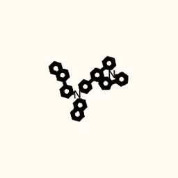 c1cc(-c2ccc3ccccc3c2)cc(N(c2ccc(-c3ccc(-c4ccccc4-n4c5ccccc5c5ccccc54)cc3)cc2)c2ccc3ccccc3c2)c1